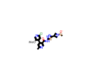 COc1cnc(Cl)cc1-c1cc(C)ncc1C(=O)Nc1nnc(C2CN([S+](C)[O-])C2)s1